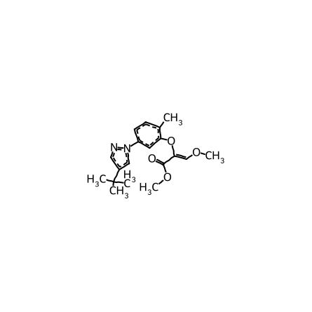 CO/C=C(\Oc1cc(-n2cc(C(C)(C)C)cn2)ccc1C)C(=O)OC